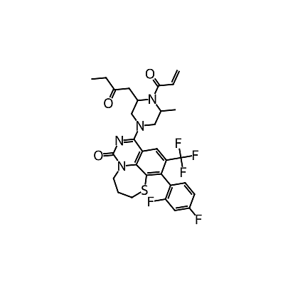 C=CC(=O)N1C(C)CN(c2nc(=O)n3c4c(c(-c5ccc(F)cc5F)c(C(F)(F)F)cc24)SCCC3)CC1CC(=O)CC